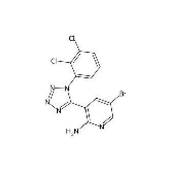 Nc1ncc(Br)cc1-c1nnnn1-c1cccc(Cl)c1Cl